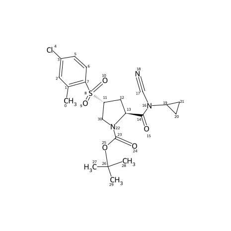 Cc1cc(Cl)ccc1S(=O)(=O)[C@@H]1C[C@@H](C(=O)N(C#N)C2CC2)N(C(=O)OC(C)(C)C)C1